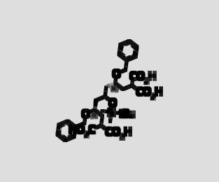 CC(C)(C)[Si](C)(C)OC(C[C@@H](CC(C(=O)O)C(=O)O)OCc1ccccc1)C[C@@H](CC(C(=O)O)C(=O)O)OCc1ccccc1